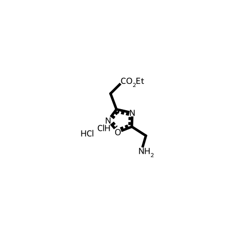 CCOC(=O)Cc1noc(CN)n1.Cl.Cl